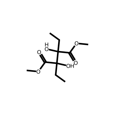 CCC(O)(C(=O)OC)C(O)(CC)C(=O)OC